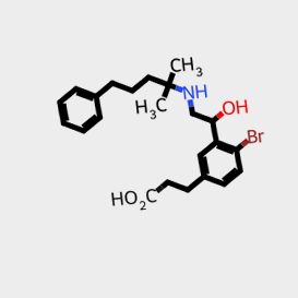 CC(C)(CCCc1ccccc1)NCC(O)c1cc(CCC(=O)O)ccc1Br